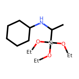 CCO[Si](OCC)(OCC)[C](C)NC1CCCCC1